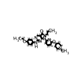 C=CCn1c(=O)c2cnc(Nc3ccc(OCC)cc3)nc2n1-c1cccc(OC2CCN(C)CC2)n1